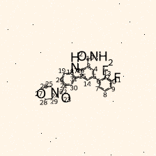 NC(=O)c1cc(-c2cccc(F)c2F)cc2c1[nH]c1ccc(C(=O)N3CCOCC3)cc12